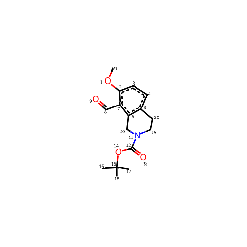 COc1ccc2c(c1C=O)CN(C(=O)OC(C)(C)C)CC2